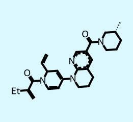 C=CC1C=C(N2CCCc3cc(C(=O)N4CCC[C@@H](C)C4)cnc32)C=CN1C(=O)C(=C)CC